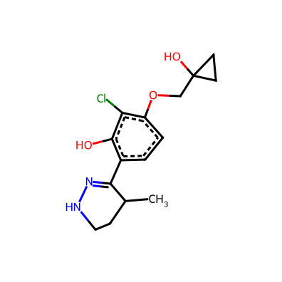 CC1CCNN=C1c1ccc(OCC2(O)CC2)c(Cl)c1O